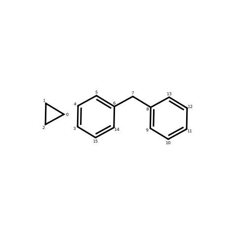 C1CC1.c1ccc(Cc2ccccc2)cc1